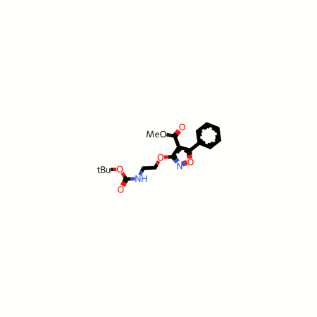 COC(=O)c1c(OCCNC(=O)OC(C)(C)C)noc1-c1ccccc1